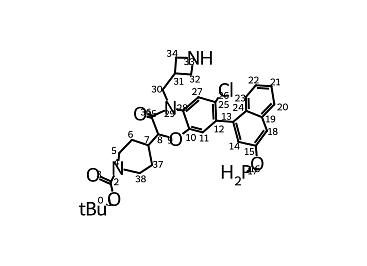 CC(C)(C)OC(=O)N1CCC(C2Oc3cc(-c4cc(OP)cc5ccccc45)c(Cl)cc3N(CC3CNC3)C2=O)CC1